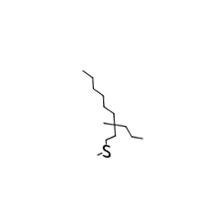 CCCCCCC(C)(CCC)CCSC